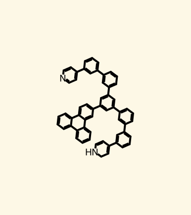 C1=CC(c2cccc(-c3cccc(-c4cc(-c5cccc(-c6cccc(-c7ccncc7)c6)c5)cc(-c5ccc6c7ccccc7c7ccccc7c6c5)c4)c3)c2)=CCN1